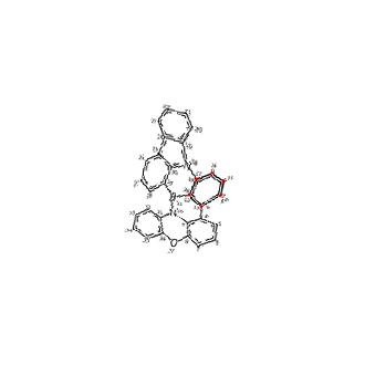 c1ccc(-c2cccc3c2N(B2c4ccccc4-n4c5ccccc5c5cccc2c54)c2ccccc2O3)cc1